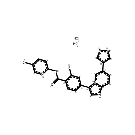 Cl.Cl.O=C(Nc1ccc(Cl)cn1)c1ccc(-c2cnc3ccc(-c4cn[nH]c4)cn23)cc1F